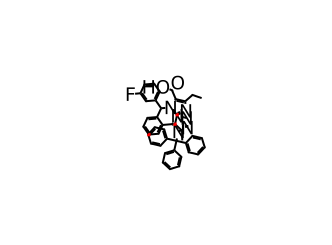 CCCc1nc(CC)c(C(=O)O)n1C(c1cccc(F)c1)c1ccccc1-c1nnnn1C(c1ccccc1)(c1ccccc1)c1ccccc1